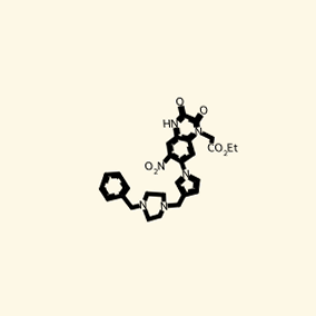 CCOC(=O)Cn1c(=O)c(=O)[nH]c2cc([N+](=O)[O-])c(-n3ccc(CN4CCN(Cc5ccccc5)CC4)c3)cc21